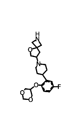 Fc1ccc(OC2COCOC2)c(C2CCN(C3COC4(CNC4)C3)CC2)c1